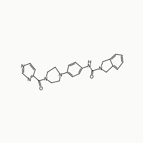 O=C(Nc1ccc(N2CCN(C(=O)c3ccncn3)CC2)cc1)N1Cc2ccccc2C1